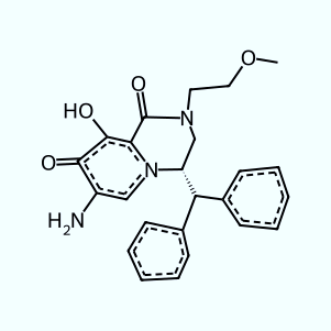 COCCN1C[C@H](C(c2ccccc2)c2ccccc2)n2cc(N)c(=O)c(O)c2C1=O